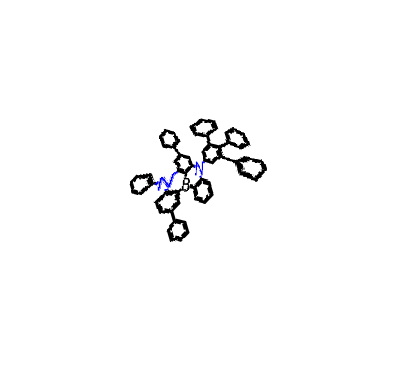 c1ccc(-c2ccc3c(c2)B2c4ccccc4N(c4cc(-c5ccccc5)c(-c5ccccc5)c(-c5ccccc5)c4)c4cc(-c5ccccc5)cc(c42)N3c2ccccc2)cc1